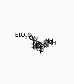 CCOC(=O)COc1cccc(N2CCO[C@H]([C@@H](O)C(=O)Nc3ccc4c(c3)CNC4=N)C2=O)c1